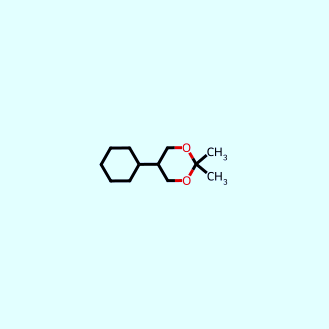 CC1(C)OCC(C2CCCCC2)CO1